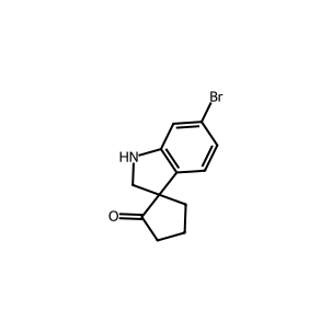 O=C1CCCC12CNc1cc(Br)ccc12